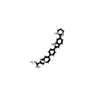 N=C(N)c1cn2ccc(-c3ccc(-c4cc5ccc(C6=NCCCN6)cc5[nH]4)cc3)cc2n1